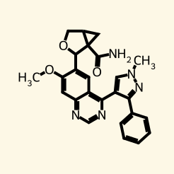 COc1cc2ncnc(-c3cn(C)nc3-c3ccccc3)c2cc1C1OCC2CC21C(N)=O